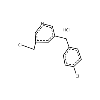 Cl.ClCc1cncc(Cc2ccc(Cl)cc2)c1